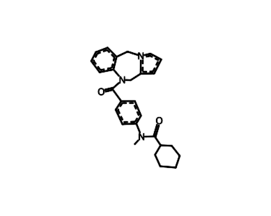 CN(C(=O)C1CCCCC1)c1ccc(C(=O)N2Cc3cccn3Cc3ccccc32)cc1